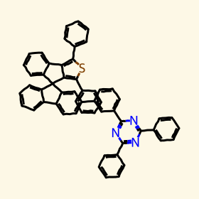 c1ccc(-c2nc(-c3ccccc3)nc(-c3cccc(-c4ccc5c(c4)C4(c6ccccc6-5)c5ccccc5-c5c(-c6ccccc6)sc(-c6ccccc6)c54)c3)n2)cc1